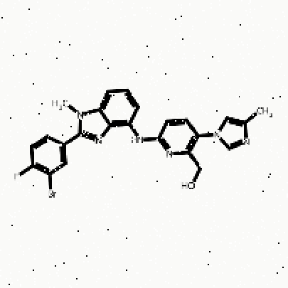 Cc1cn(-c2ccc(Nc3cccc4c3nc(-c3ccc(F)c(Br)c3)n4C)nc2CO)cn1